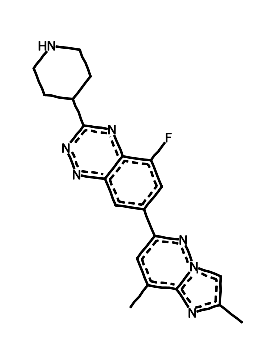 Cc1cn2nc(-c3cc(F)c4nc(C5CCNCC5)nnc4c3)cc(C)c2n1